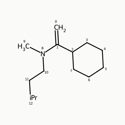 C=C(C1CCCCC1)N(C)CCC(C)C